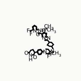 CC(C)Oc1cc2nc(C3CCC(CN(C)C4CCN(c5ccc(C6CCC(=O)NC6=O)cc5)CC4(F)F)CC3)cn2cc1C(=O)Nc1cccc(C(F)F)n1